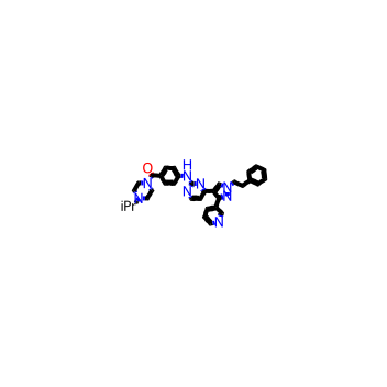 CC(C)N1CCN(C(=O)c2ccc(Nc3nccc(-c4cn(CCc5ccccc5)nc4-c4cccnc4)n3)cc2)CC1